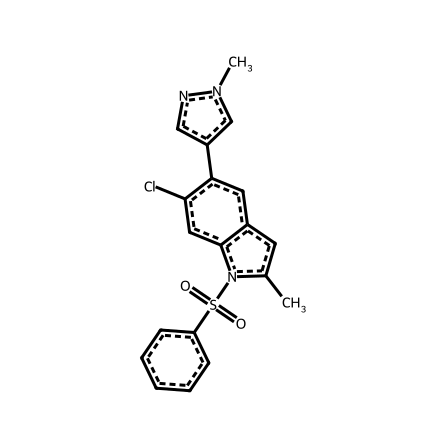 Cc1cc2cc(-c3cnn(C)c3)c(Cl)cc2n1S(=O)(=O)c1ccccc1